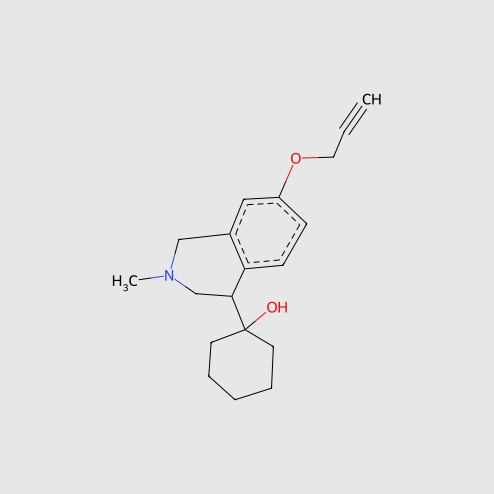 C#CCOc1ccc2c(c1)CN(C)CC2C1(O)CCCCC1